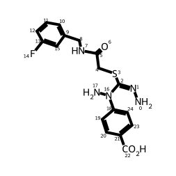 N/N=C(/SCC(=O)NCc1cccc(F)c1)N(N)c1ccc(C(=O)O)cc1